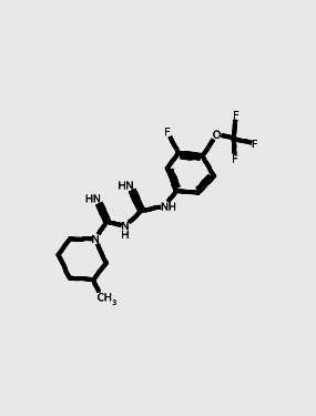 CC1CCCN(C(=N)NC(=N)Nc2ccc(OC(F)(F)F)c(F)c2)C1